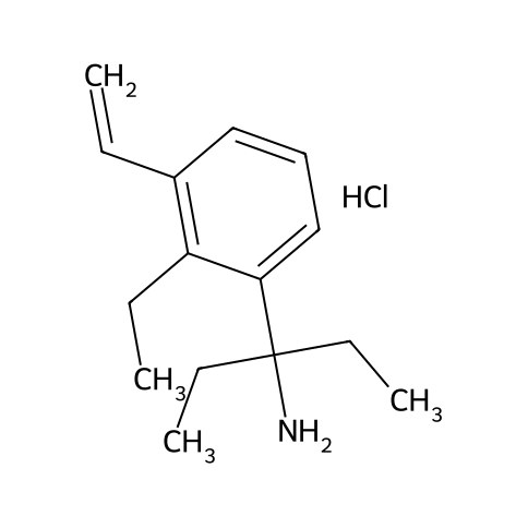 C=Cc1cccc(C(N)(CC)CC)c1CC.Cl